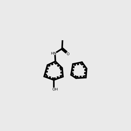 CC(=O)Nc1ccc(O)cc1.c1ccccc1